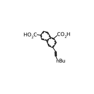 CCCCC#Cc1cc(C(=O)O)c2ccc(C(=O)O)cc2c1